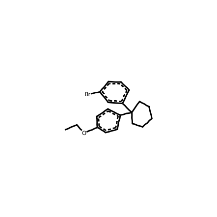 CCOc1ccc(C2(c3cccc(Br)c3)CCCCC2)cc1